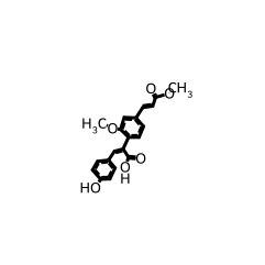 COC(=O)/C=C/c1ccc(C(=Cc2ccc(O)cc2)C(=O)O)c(OC)c1